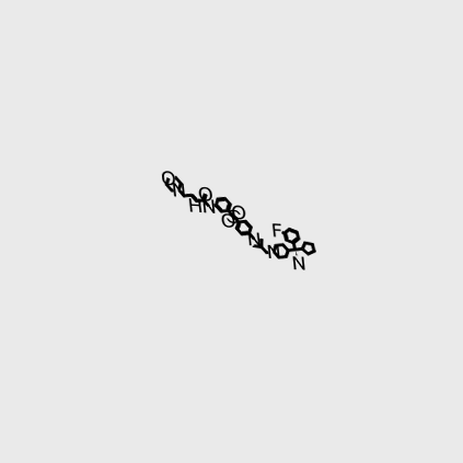 N#C[C@](c1cccc(F)c1)(C1CCCC1)C1CCN(CC2CN(c3ccc(S(=O)(=O)c4cccc(NC(=O)/C=C/CN5CCOCC5)c4)cc3)C2)CC1